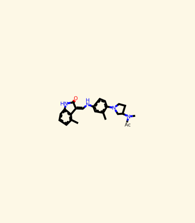 CC(=O)N(C)C1CCN(c2ccc(NC=C3C(=O)Nc4cccc(C)c43)cc2C)C1